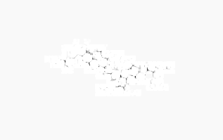 CC(=O)N[C@@H](NCC=O)C(=O)N[C@@H](N[C@@H](C=O)CC(=O)O)C(=O)N[C@@H](N[C@@H](C=O)CC(=O)O)C(=O)N[C@@H](C)C(=O)N[C@@H](N[C@@H](C=O)CC(N)=O)C(=O)N[C@@H](N[C@@H](C=O)CCCNC(=N)N)C(N)=O